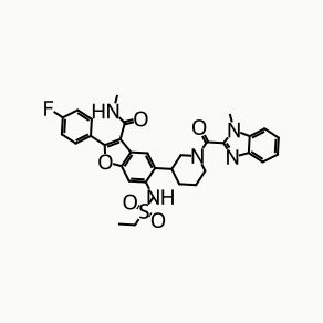 CCS(=O)(=O)Nc1cc2oc(-c3ccc(F)cc3)c(C(=O)NC)c2cc1C1CCCN(C(=O)c2nc3ccccc3n2C)C1